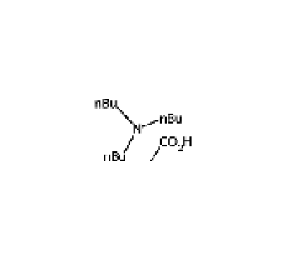 CC(=O)O.CCCCN(CCCC)CCCC